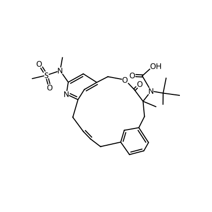 CN(c1cc2cc(n1)CC=CCc1cccc(c1)CC(C)(N(C(=O)O)C(C)(C)C)C(=O)OC2)S(C)(=O)=O